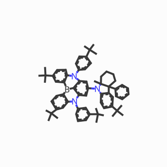 CC(C)(C)c1ccc(N2c3ccc(C(C)(C)C)cc3B3c4ccc(C(C)(C)C)cc4N(c4cccc(C(C)(C)C)c4)c4cc(N5c6ccc(C(C)(C)C)cc6C6(c7ccccc7)CCCCC56C)cc2c43)cc1